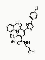 CCc1cccc(CC)c1-n1c(CC(C)C)c(C(=O)NCCO)cc(-c2nc(-c3ccc(Cl)cc3)cs2)c1=O